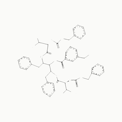 CC(C)[C@H](NC(=O)OCc1ccccc1)C(=O)NC(Cc1ccccc1)C(OC(=O)c1cccc(CCl)c1)C(Cc1ccccc1)NC(=O)[C@@H](NC(=O)OCc1ccccc1)C(C)C